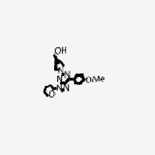 COc1ccc(-c2nc(N3CC4C(CO)C4C3)nc3c2ncn3C2CCCCO2)cc1